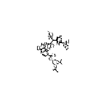 CON=C(C(=O)NC1C(=O)N2C=CC(C(=O)OC(COC(C)C)COC(C)C)S[C@H]12)c1csc(NC=O)n1